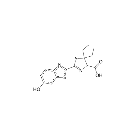 CCC1(CC)SC(c2nc3ccc(O)cc3s2)=NC1C(=O)O